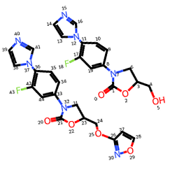 O=C1OC(CO)CN1c1ccc(-n2ccnc2)c(F)c1.O=C1OC(COc2ccon2)CN1c1ccc(-n2ccnc2)c(F)c1